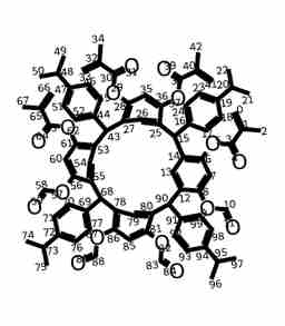 C=C(C)C(=O)Oc1cc(OC=O)c2cc1C(c1ccc(C(C)C)cc1)c1cc(c(OC(=O)C(=C)C)cc1OC(=O)C(=C)C)C(c1ccc(C(C)C)cc1)c1cc(c(OC=O)cc1OC(=O)C(=C)C)C(c1ccc(C(C)C)cc1)c1cc(c(OC=O)cc1OC=O)C2c1ccc(C(C)C)cc1